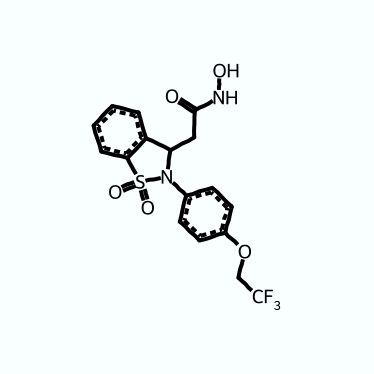 O=C(CC1c2ccccc2S(=O)(=O)N1c1ccc(OCC(F)(F)F)cc1)NO